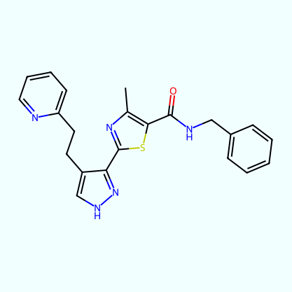 Cc1nc(-c2n[nH]cc2CCc2ccccn2)sc1C(=O)NCc1ccccc1